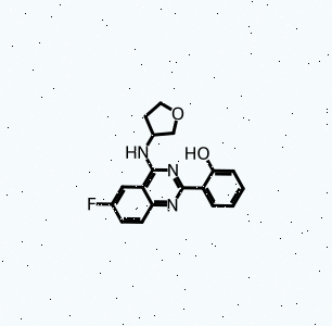 Oc1ccccc1-c1nc(NC2CCOC2)c2cc(F)ccc2n1